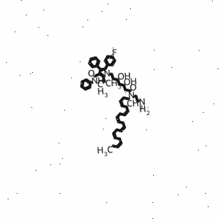 CC/C=C\C/C=C\C/C=C\C/C=C\C/C=C\C/C=C\CC(C)N(CCN)C(=O)C[C@H](O)C[C@H](O)CCn1c(-c2ccc(F)cc2)c(-c2ccccc2)c(C(=O)Nc2ccccc2)c1C(C)C